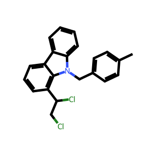 Cc1ccc(Cn2c3ccccc3c3cccc(C(Cl)CCl)c32)cc1